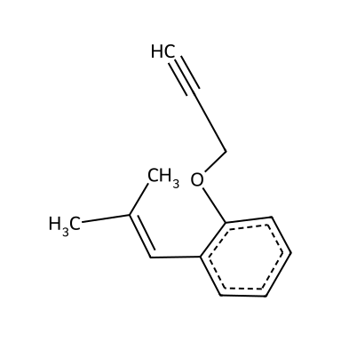 C#CCOc1ccccc1C=C(C)C